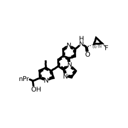 CCCC(O)c1cc(C)c(-c2cc3cnc(NC(=O)[C@@H]4C[C@@H]4F)cc3n3ccnc23)cn1